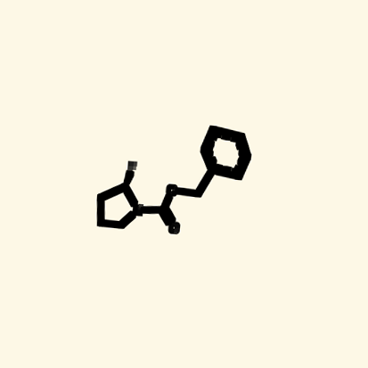 O=C(OCc1ccccc1)N1CCC[C@H]1F